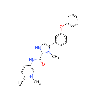 C=C1C=CC(NC(=O)C2NC=C(c3cccc(Oc4ccccc4)c3)N2C)=CN1C